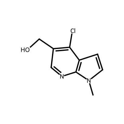 Cn1ccc2c(Cl)c(CO)cnc21